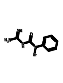 N=C(N)NC(=O)N(Br)c1ccccc1